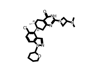 C[C@@H]1Cc2c(nc(N3CC(N(C)C)C3)[nH]c2=O)C[C@H]1c1c(Cl)ccc2c1cnn2C1CCCCO1